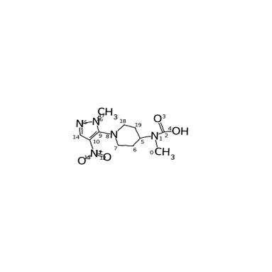 CN(C(=O)O)C1CCN(c2c([N+](=O)[O-])cnn2C)CC1